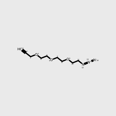 C#CCOCCOCCOCCN=[N+]=[N-]